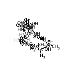 C/C=C/[C@@H]1O[C@H]([C@H](O)/C=C/C=C(\C)C[C@@H](C)/C=C(C)\C=C\[C@H]2CC=CC(=O)O2)CC(NCc2cn(-c3ccc(C(=O)NCCCC[C@H](NC(=O)[C@H](CC(=O)O)NC(=O)[C@H](CC(=O)O)NC(=O)[C@@H](CCC(=O)O)NC(=O)CC[C@H](NC(=O)c4ccc(NCc5cnc6nc(N)nc(O)c6n5)cc4)C(=O)O)C(=O)O)cc3)nn2)[C@@H]1C